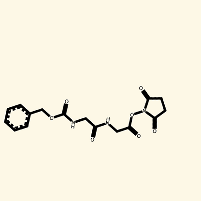 O=C(CNC(=O)OCc1ccccc1)NCC(=O)ON1C(=O)CCC1=O